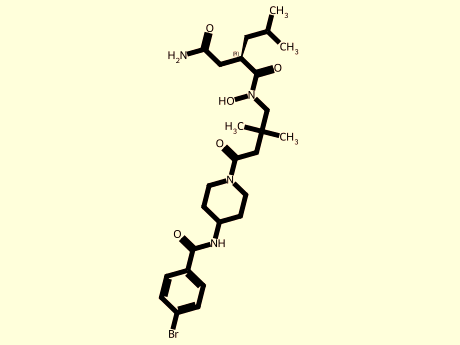 CC(C)C[C@H](CC(N)=O)C(=O)N(O)CC(C)(C)CC(=O)N1CCC(NC(=O)c2ccc(Br)cc2)CC1